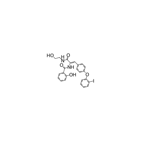 O=C(NCCO)/C(=C/c1ccc(Oc2ccccc2I)cc1)NC(=O)c1ccccc1O